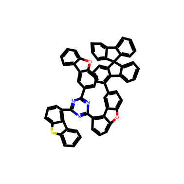 c1ccc2c(c1)-c1ccccc1C21c2ccccc2-c2c(-c3ccc4oc5cccc(-c6nc(-c7ccc8oc9ccccc9c8c7)nc(-c7cccc8sc9ccccc9c78)n6)c5c4c3)cccc21